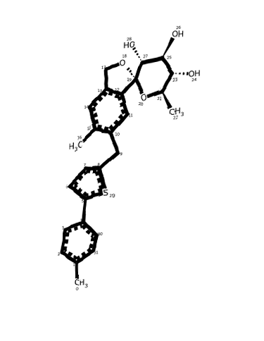 Cc1ccc(-c2ccc(Cc3cc4c(cc3C)CO[C@]43O[C@H](C)[C@@H](O)[C@H](O)[C@H]3O)s2)cc1